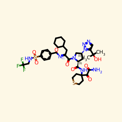 CC(C)(O)c1cnnn1[C@H]1C[C@@H](C(=O)NC2(C(=O)C(N)=O)CCSCC2)N(C(=O)/C(CC2CCCCC2)=N/C(=O)c2ccc(S(=O)(=O)NCC(F)(F)F)cc2)C1